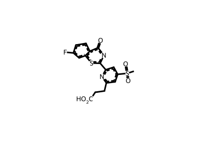 CS(=O)(=O)c1cc(CCC(=O)O)nc(-c2nc(=O)c3ccc(F)cc3s2)c1